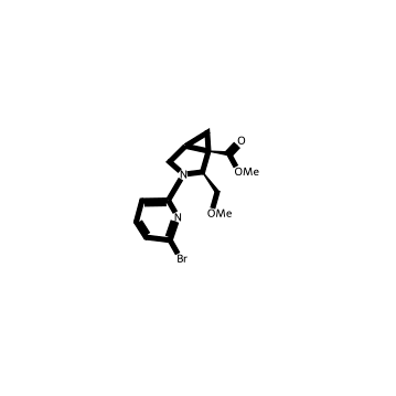 COC[C@H]1N(c2cccc(Br)n2)CC2C[C@@]21C(=O)OC